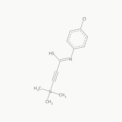 C[Si](C)(C)C#CC(S)=Nc1ccc(Cl)cc1